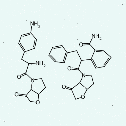 NC(=O)c1ccccc1C(Cc1ccccc1)C(=O)N1CCC2OCC(=O)C21.Nc1ccc(CC(N)C(=O)N2CCC3OCC(=O)C32)cc1